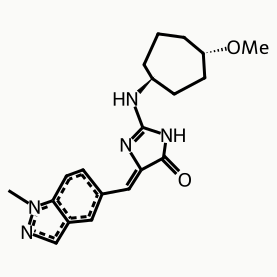 CO[C@H]1CCC[C@H](NC2=N/C(=C\c3ccc4c(cnn4C)c3)C(=O)N2)CC1